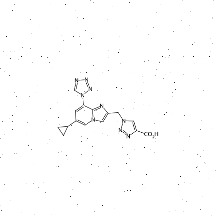 O=C(O)c1cn(Cc2cn3cc(C4CC4)cc(-n4cnnn4)c3n2)nn1